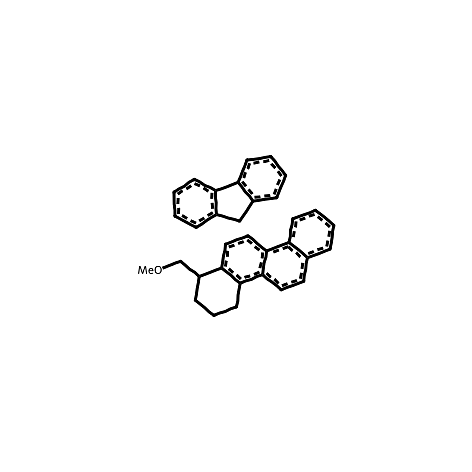 COCC1CCCc2c1ccc1c2ccc2ccccc21.c1ccc2c(c1)Cc1ccccc1-2